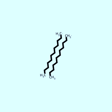 [CH2]CCCCCCCCCCC.[CH2]CCCCCCCCCCC